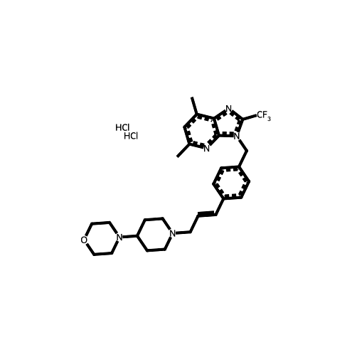 Cc1cc(C)c2nc(C(F)(F)F)n(Cc3ccc(C=CCN4CCC(N5CCOCC5)CC4)cc3)c2n1.Cl.Cl